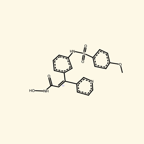 COc1ccc(S(=O)(=O)Nc2cccc(/C(=C\C(=O)NO)c3cccnc3)c2)cc1